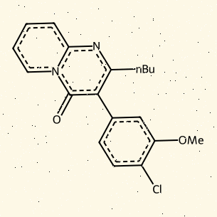 CCCCc1nc2ccccn2c(=O)c1-c1ccc(Cl)c(OC)c1